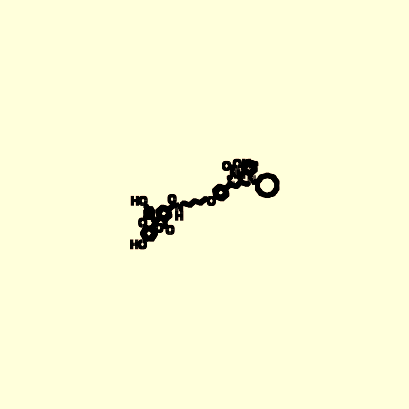 COC(=O)NC[C@@H](CC1Cc2ccccc2N(C2CCCCCCCCC2)C1)c1ccc(OCCCCCNC(=O)c2ccc3c(c2)C(=O)OC32c3ccc(O)cc3Oc3cc(O)ccc32)cc1